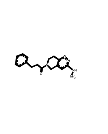 NNc1cc2c(nn1)CCN(C(=O)CCc1ccccc1)C2